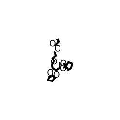 C=CC(=O)OCCCOCC1OC2(CCCC2)OC1C1COC2(CCCC2)O1